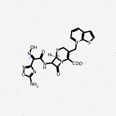 Nc1nc(/C(=N/O)C(=O)NC2C(=O)N3C(C(=O)[O-])=C(C[n+]4cccc5ccsc54)CS[C@H]23)no1